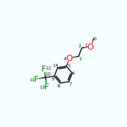 COCCOc1cccc(C(F)(F)F)c1